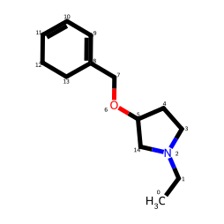 CCN1CCC(OCC2=CC=CCC2)C1